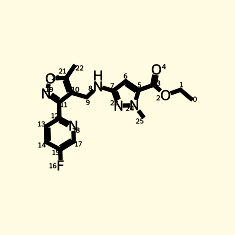 CCOC(=O)c1cc(NCc2c(-c3ccc(F)cn3)noc2C)nn1C